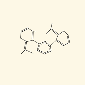 CC(C)=C1CC=C[C]=C1c1cccc(C2=[C]C=CCC2=C(C)C)c1